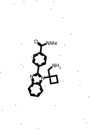 CNC(=O)c1ccc(-c2nc3ccccc3n2C2(CN)CCC2)cc1